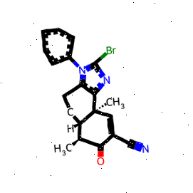 C[C@@H]1C(=O)C(C#N)=C[C@]2(C)c3nc(Br)n(-c4ccccc4)c3CC[C@@H]12